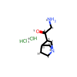 Cl.Cl.NCC(=O)C1CN2CCC1C2